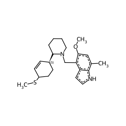 COc1cc(C)c2[nH]ccc2c1CN1CCCCC1[C@@H]1C=CC(SC)CC1